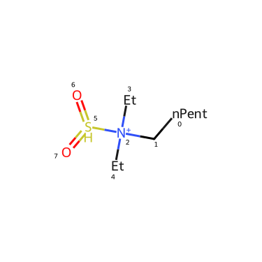 CCCCCC[N+](CC)(CC)[SH](=O)=O